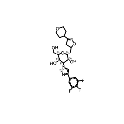 OC[C@H]1O[C@H](CC2CC(C3CCOCC3)=NO2)[C@H](O)[C@@H](n2cc(-c3cc(F)c(F)c(F)c3)nn2)[C@H]1O